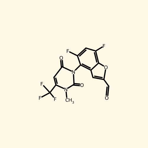 Cn1c(C(F)(F)F)cc(=O)n(-c2c(F)cc(F)c3oc(C=O)cc23)c1=O